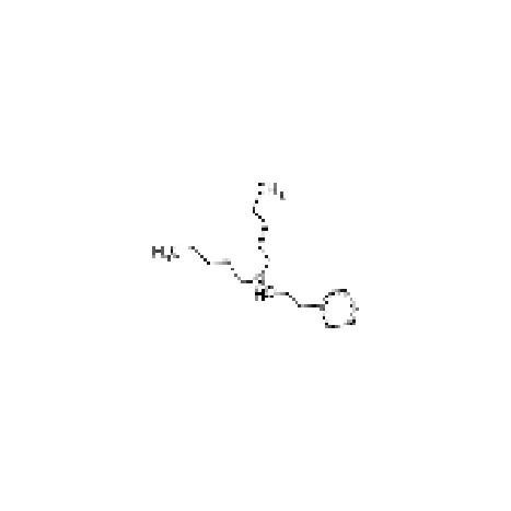 CCC=CC[SiH](CC=CCC)OCCc1ccccc1